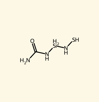 NC(=O)N[SiH2]NS